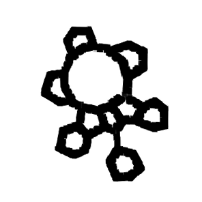 c1ccc(-n2c3c4ccccc4n4c5cccc(c5)c5cccc(c5)c5cccc(c5)n5c6ccccc6c2c5c34)cc1